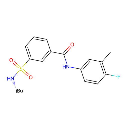 CC[C@@H](C)NS(=O)(=O)c1cccc(C(=O)Nc2ccc(F)c(C)c2)c1